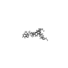 CC(Cc1cc2ccccc2o1)NC(=O)c1ccc2c(N3CCN(C)CC3)nc(N)nc2c1